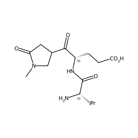 CC(C)[C@H](N)C(=O)N[C@@H](CCC(=O)O)C(=O)C1CC(=O)N(C)C1